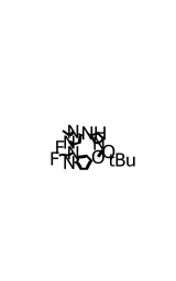 Cc1nc(N[C@H]2CCN(C(=O)OC(C)(C)C)C2)cc(-n2c(C(F)F)nc3ccccc32)n1